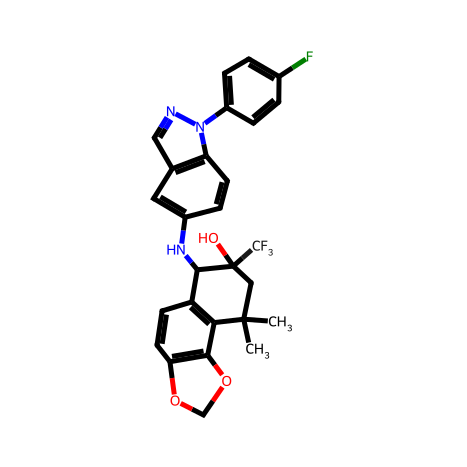 CC1(C)CC(O)(C(F)(F)F)C(Nc2ccc3c(cnn3-c3ccc(F)cc3)c2)c2ccc3c(c21)OCO3